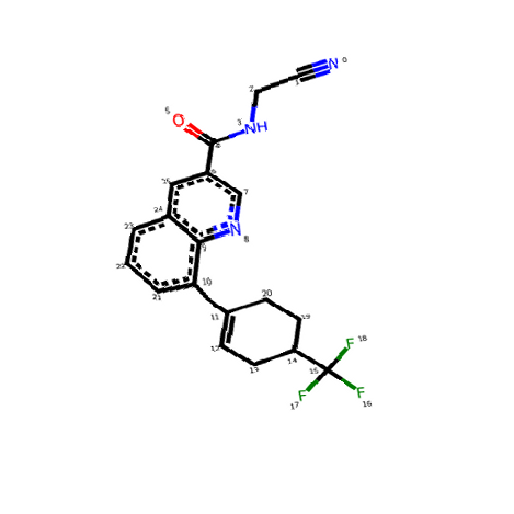 N#CCNC(=O)c1cnc2c(C3=CCC(C(F)(F)F)CC3)cccc2c1